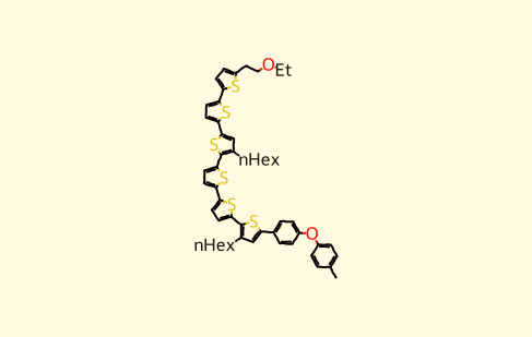 CCCCCCc1cc(-c2ccc(Oc3ccc(C)cc3)cc2)sc1-c1ccc(-c2ccc(-c3sc(-c4ccc(-c5ccc(CCOCC)s5)s4)cc3CCCCCC)s2)s1